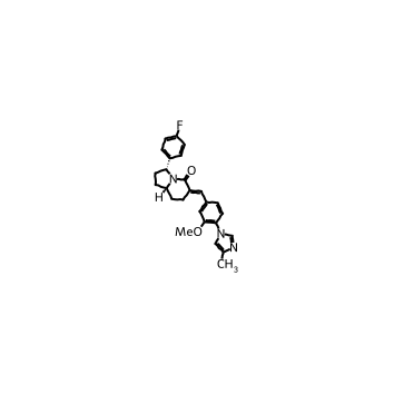 COc1cc(/C=C2\CC[C@@H]3CC[C@H](c4ccc(F)cc4)N3C2=O)ccc1-n1cnc(C)c1